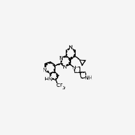 FC(F)(F)c1cc2c(-c3nc(N4CC5(CNC5)C4)c4c(C5CC5)cncc4n3)ccnc2[nH]1